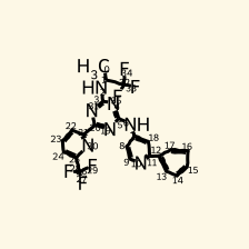 CC(Nc1nc(Nc2ccnc(-c3ccccc3)c2)nc(-c2cccc(C(F)(F)F)n2)n1)C(F)(F)F